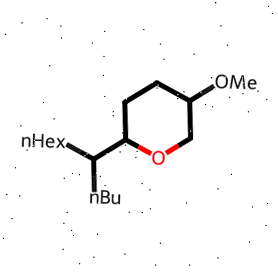 CCCCCCC(CCCC)C1CCC(OC)CO1